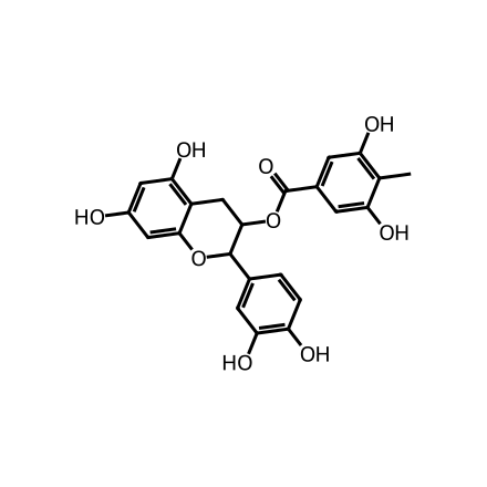 Cc1c(O)cc(C(=O)OC2Cc3c(O)cc(O)cc3OC2c2ccc(O)c(O)c2)cc1O